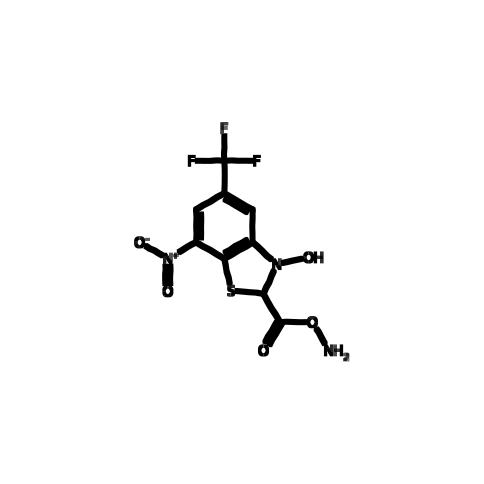 NOC(=O)C1Sc2c(cc(C(F)(F)F)cc2[N+](=O)[O-])N1O